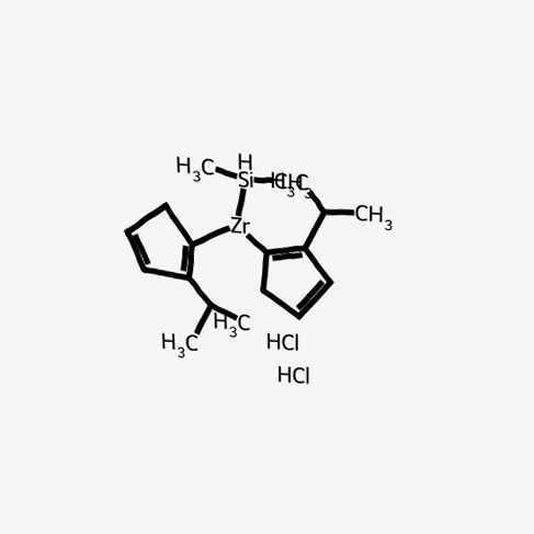 CC(C)C1=[C]([Zr]([C]2=C(C(C)C)C=CC2)[SiH](C)C)CC=C1.Cl.Cl